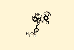 CC(=O)N1CCC(CCn2c(Sc3cc4c(cc3Cl)OCCO4)nc3c(N)nccc32)C1